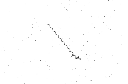 B.CCCCCCCCCCCCCCCCCCN(C)C